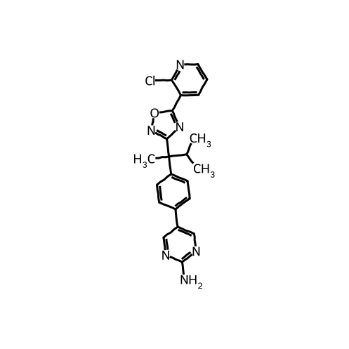 CC(C)C(C)(c1ccc(-c2cnc(N)nc2)cc1)c1noc(-c2cccnc2Cl)n1